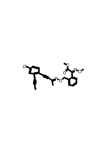 CC#Cc1cc(Cl)ccc1C#C/C(C)=N/OCc1ccccc1/C(=N\OC)C(=O)OC